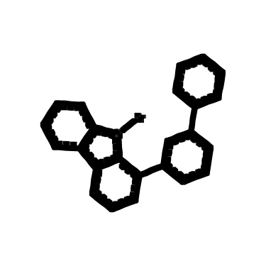 Brn1c2ccccc2c2cccc(-c3cccc(-c4ccccc4)c3)c21